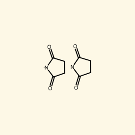 O=C1CCC(=O)[N]1.O=C1CCC(=O)[N]1